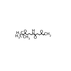 C=CC(=O)CCC(=O)NCCCC(=O)C(C)(C)C